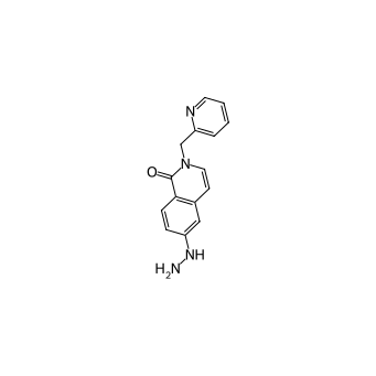 NNc1ccc2c(=O)n(Cc3ccccn3)ccc2c1